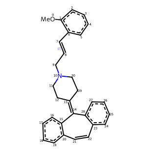 COc1ccccc1/C=C/CN1CCC(=C2c3ccccc3C=Cc3ccccc32)CC1